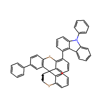 c1ccc(-c2ccc3c(c2)C2(c4ccccc4Sc4ccccc42)c2cccc(-c4cccc5c4c4ccccc4n5-c4ccccc4)c2S3)cc1